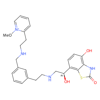 CO[n+]1ccccc1CCNCc1cccc(CCNC[C@H](O)c2ccc(O)c3[nH]c(=O)sc23)c1